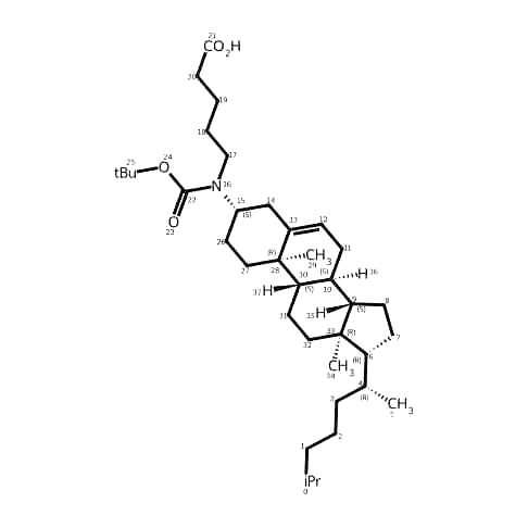 CC(C)CCC[C@@H](C)[C@H]1CC[C@H]2[C@@H]3CC=C4C[C@@H](N(CCCCC(=O)O)C(=O)OC(C)(C)C)CC[C@]4(C)[C@H]3CC[C@]12C